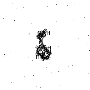 CS(=O)(=O)N1CCC(C(=O)NCC(=O)NC2NC(c3cccc(C4CCNC(N5CCN(C(=O)CCOCCOCCOc6cccc7c6C(=O)N(C6CCC(=O)NC6=O)C7=O)CC5)C4)c3)CS2)C1